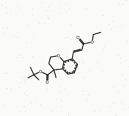 CCOC(=O)/C=C/c1cccc2c1OCCC2(C)C(=O)OC(C)(C)C